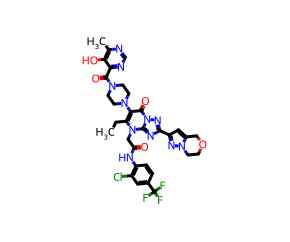 CCc1c(N2CCN(C(=O)c3ncnc(C)c3O)CC2)c(=O)n2nc(-c3cc4n(n3)CCOC4)nc2n1CC(=O)Nc1ccc(C(F)(F)F)cc1Cl